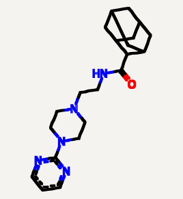 O=C(NCCN1CCN(c2ncccn2)CC1)C1C2CC3CC(C2)CC1C3